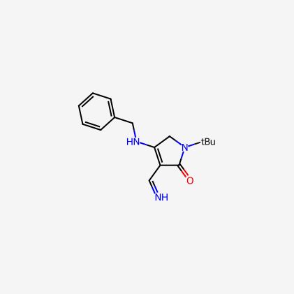 CC(C)(C)N1CC(NCc2ccccc2)=C(C=N)C1=O